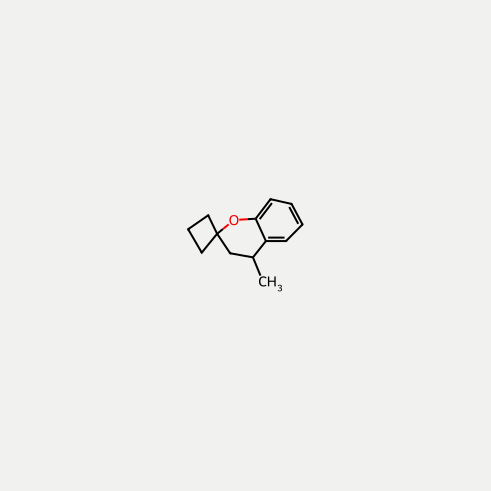 CC1CC2(CCC2)Oc2ccccc21